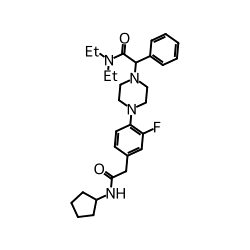 CCN(CC)C(=O)C(c1ccccc1)N1CCN(c2ccc(CC(=O)NC3CCCC3)cc2F)CC1